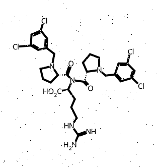 N=C(N)NCCC[C@@H](C(=O)O)N(C(=O)[C@@H]1CCCN1Cc1cc(Cl)cc(Cl)c1)C(=O)[C@@H]1CCCN1Cc1cc(Cl)cc(Cl)c1